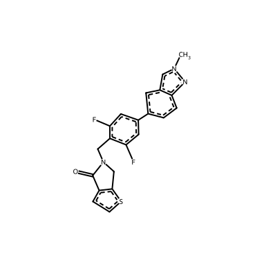 Cn1cc2cc(-c3cc(F)c(CN4Cc5sccc5C4=O)c(F)c3)ccc2n1